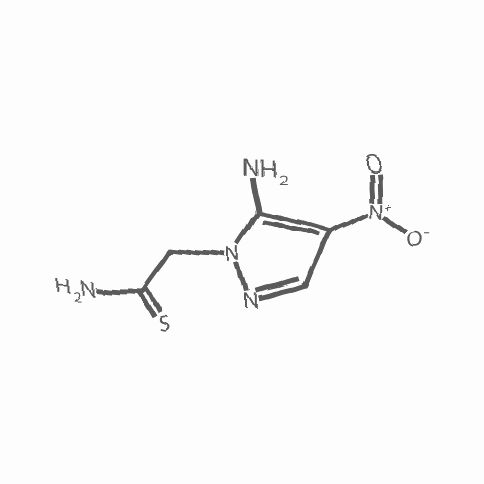 NC(=S)Cn1ncc([N+](=O)[O-])c1N